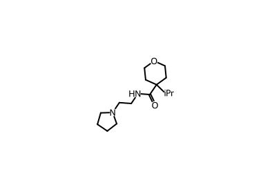 CC(C)C1(C(=O)NCCN2CCCC2)CCOCC1